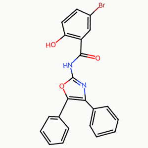 O=C(Nc1nc(-c2ccccc2)c(-c2ccccc2)o1)c1cc(Br)ccc1O